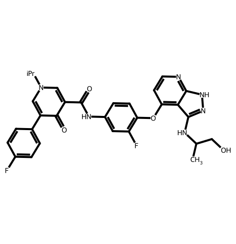 CC(CO)Nc1n[nH]c2nccc(Oc3ccc(NC(=O)c4cn(C(C)C)cc(-c5ccc(F)cc5)c4=O)cc3F)c12